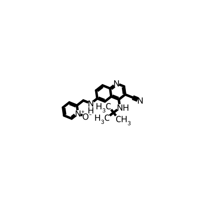 CC(C)(C)Nc1c(C#N)cnc2ccc(NCc3cccc[n+]3[O-])cc12